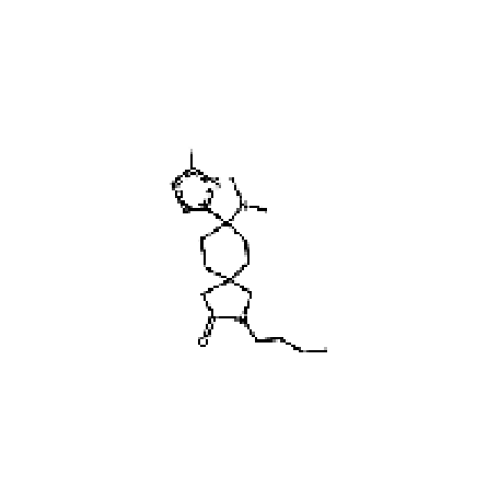 CCCCN1CC2(CCC(c3ccc(C)s3)(N(C)C)CC2)CC1=O